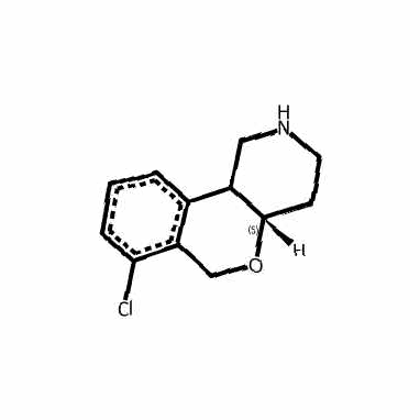 Clc1cccc2c1CO[C@H]1CCNCC21